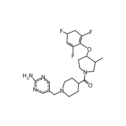 CC1CN(C(=O)C2CCN(Cc3cnc(N)nc3)CC2)CCC1OC1=C(F)CC(F)C=C1F